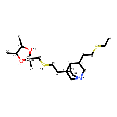 CCSCCC1CN2CCC1C(CCSC[Si]1(C)OC(C)C(C)O1)C2